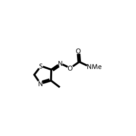 CNC(=O)ON=C1SCN=C1C